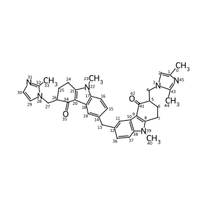 Cc1cn(CC2CCc3c(c4cc(Cc5ccc6c(c5)c5c(n6C)CCC(Cn6ccnc6C)C5=O)ccc4n3C)C2=O)c(C)n1